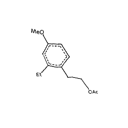 CCc1cc(OC)ccc1CCOC(C)=O